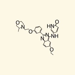 CCOc1ccc2nc(-c3cccc(OCCN4CCOCC4C)c3)nc(Nc3ccc(=O)[nH]c3)c2c1